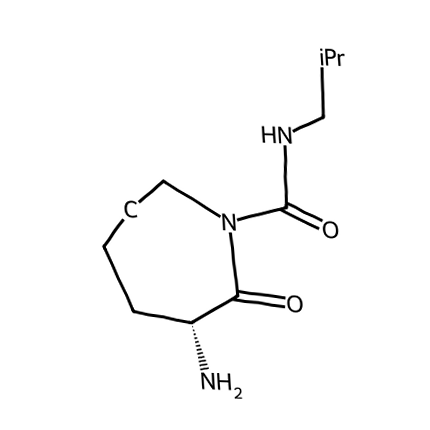 CC(C)CNC(=O)N1CCCC[C@@H](N)C1=O